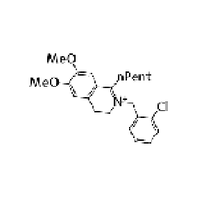 CCCCCC1=[N+](Cc2ccccc2Cl)CCc2cc(OC)c(OC)cc21